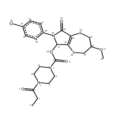 CCC(=O)N1CCN(C(=O)OC2C3=C(SCC(OC)CS3)C(=O)N2c2ccc(Cl)cn2)CC1